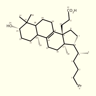 CC(C)CCC[C@@H](C)[C@H]1CC[C@@]2(CCC(=O)O)C3=C(CC[C@]12C)[C@@]1(C)CC[C@H](O)C(C)(C)C1CC3